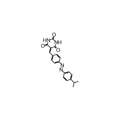 CC(C)c1ccc(/N=N/c2ccc(C=C3C(=O)NC(=O)NC3=O)cc2)cc1